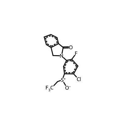 O=C1c2ccccc2CN1c1cc([S+]([O-])CC(F)(F)F)c(Cl)cc1F